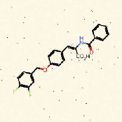 O=C(O)/C(=C\c1ccc(OCc2ccc(F)c(F)c2)cc1)NC(=O)c1ccccc1